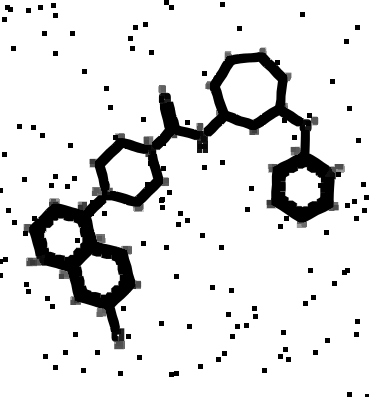 O=C(NC1CCCCC(Oc2ccccn2)C1)N1CCN(c2ccnc3cc(Cl)ccc23)CC1